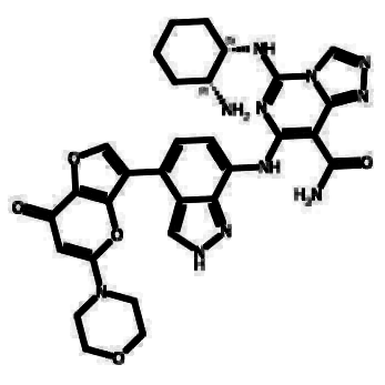 NC(=O)c1c(Nc2ccc(-c3coc4c(=O)cc(N5CCOCC5)oc34)c3c[nH]nc23)nc(N[C@H]2CCCC[C@H]2N)n2cnnc12